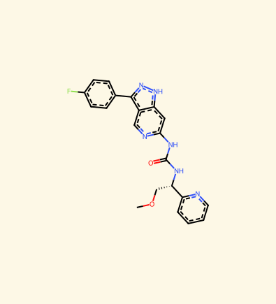 COC[C@H](NC(=O)Nc1cc2[nH]nc(-c3ccc(F)cc3)c2cn1)c1ccccn1